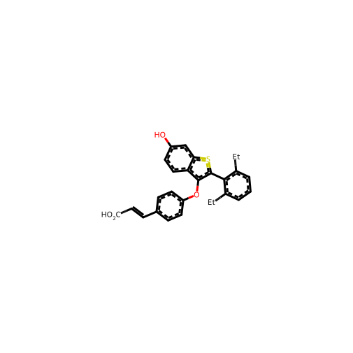 CCc1cccc(CC)c1-c1sc2cc(O)ccc2c1Oc1ccc(C=CC(=O)O)cc1